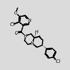 COc1cncc(C(=O)N2CCN3C[C@@H](c4ccc(Cl)cc4)CC[C@@H]3C2)c1Cl